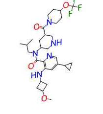 COC1CC(Nc2cc(C3CC3)cnc2C(=O)N(CC(C)C)C2CNCC(C(=O)N3CCC(OC(F)(F)F)CC3)C2)C1